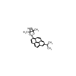 CC(C)c1cc2ccc3ccc(B4OC(C)(C)C(C)(C)O4)c4ccc(c1)c2c34